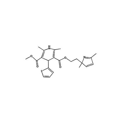 COC(=O)C1=C(C)NC(C)=C(C(=O)OCCC2(C)C=CC(C)=N2)C1c1cccs1